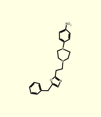 O=[N+]([O-])c1ccc(N2CCN(CCc3ncc(Cc4ccccc4)o3)CC2)cc1